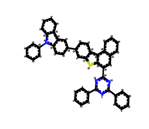 c1ccc(-c2nc(-c3ccccc3)nc(-c3cc4ccccc4c4c3sc3cc(-c5ccc6c(c5)c5ccccc5n6-c5ccccc5)ccc34)n2)cc1